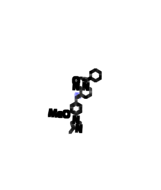 COc1cc(/C=C2\CCCN3C2=NOC[C@H]3C2CCCCC2)ccc1-n1cnc(C)c1